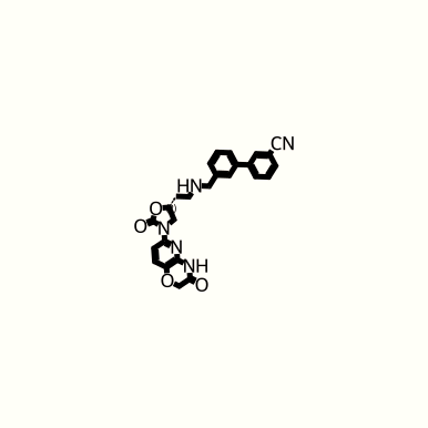 N#Cc1cccc(-c2cccc(CNCC[C@@H]3CN(c4ccc5c(n4)NC(=O)CO5)C(=O)O3)c2)c1